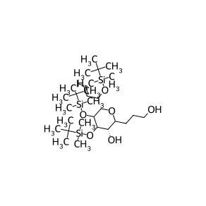 CC(C)(C)[Si](C)(C)OC1C(O[Si](C)(C)C(C)(C)C)[C@H](C(/C=C/I)O[Si](C)(C)C(C)(C)C)OC(CCCO)[C@@H]1O